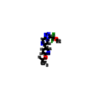 CCOC(F)(F)c1nnc2cnc(-c3ccc(OC(C)C(F)(F)F)nc3)cn12